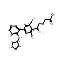 CC(CCCC(=O)O)c1c(F)cc(-c2cccnc2OC2CCOC2)cc1F